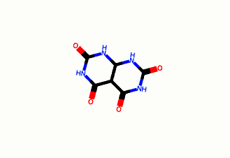 O=C1NC(=O)C2C(=O)NC(=O)NC2N1